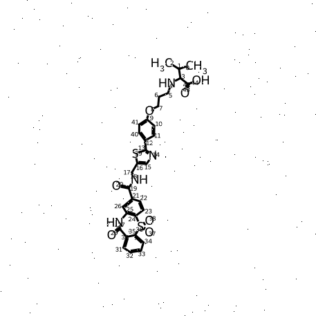 CC(C)C(NCCCOc1ccc(-c2ncc(CNC(=O)c3ccc4c(c3)NC(=O)c3ccccc3S4(=O)=O)s2)cc1)C(=O)O